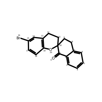 O=C1c2ccccc2CCC12CCc1cc(Br)ccc1O2